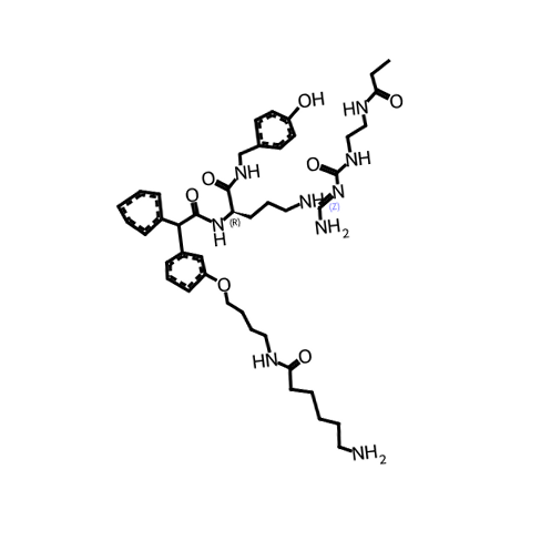 CCC(=O)NCCNC(=O)/N=C(/N)NCCC[C@@H](NC(=O)C(c1ccccc1)c1cccc(OCCCCNC(=O)CCCCCN)c1)C(=O)NCc1ccc(O)cc1